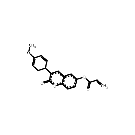 C=CC(=O)Oc1ccc2oc(=O)c(C3C=CC(OC)=CC3)cc2c1